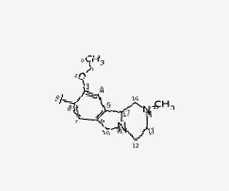 CCOc1cc2c(cc1I)CN1CCN(C)CC21